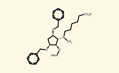 CCCCCCCCCO[C@@H]1[C@@H](N(C)CCCCCC(=O)OCC)[C@H](OCc2ccccc2)C[C@@H]1OCc1ccccc1